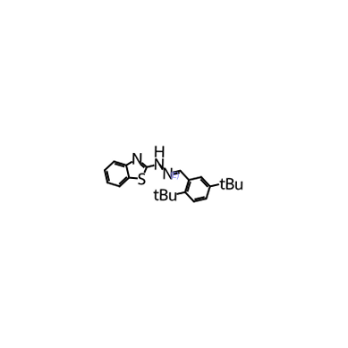 CC(C)(C)c1ccc(C(C)(C)C)c(/C=N/Nc2nc3ccccc3s2)c1